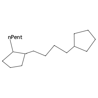 CCCCCC1CCC[C]1CCCCC1CCCC1